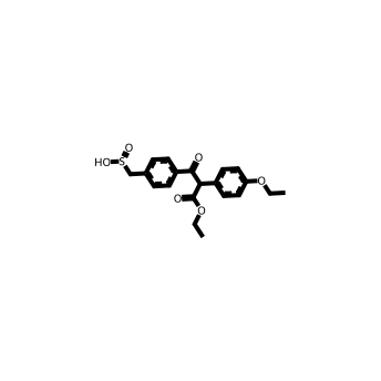 CCOC(=O)C(C(=O)c1ccc(CS(=O)O)cc1)c1ccc(OCC)cc1